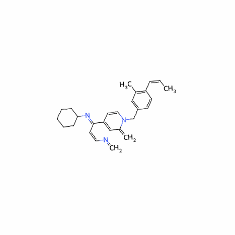 C=N/C=C\C(=N/C1CCCCC1)C1=CC(=C)N(Cc2ccc(/C=C\C)c(C)c2)C=C1